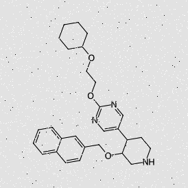 c1ccc2cc(COC3CNCCC3c3cnc(OCCOC4CCCCC4)nc3)ccc2c1